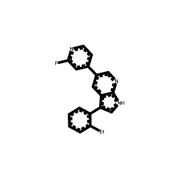 CCc1ccccc1-c1c[nH]c2ncc(-c3ccnc(F)c3)cc12